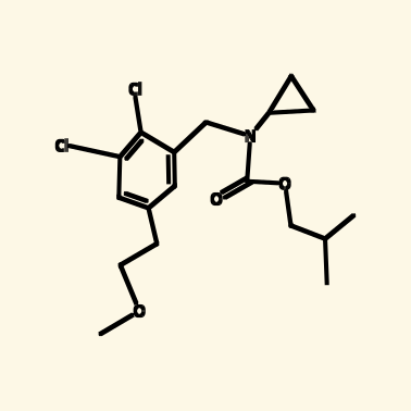 COCCc1cc(Cl)c(Cl)c(CN(C(=O)OCC(C)C)C2CC2)c1